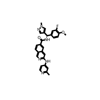 COc1ccc([C@H](NC(=O)c2ccc3cnc(Nc4ccnc(C)c4)cc3c2)c2cnn(C)c2)cc1F